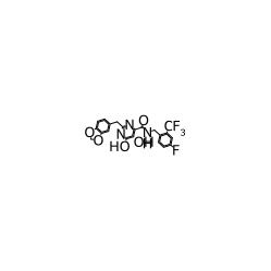 O=C(NCc1ccc(F)cc1C(F)(F)F)c1nc(Cc2ccc3c(c2)OCO3)nc(O)c1O